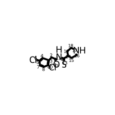 O=C(Cc1cc(Cl)ccc1Cl)NC(=S)C1CCNCC1